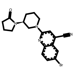 N#Cc1cc(N2CCC[C@H](N3CCCC3=O)C2)nc2ccc(Br)cc12